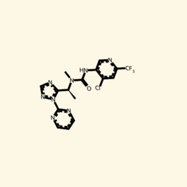 C[C@@H](c1ncnn1-c1ncccn1)N(C)C(=O)Nc1cnc(C(F)(F)F)cc1Cl